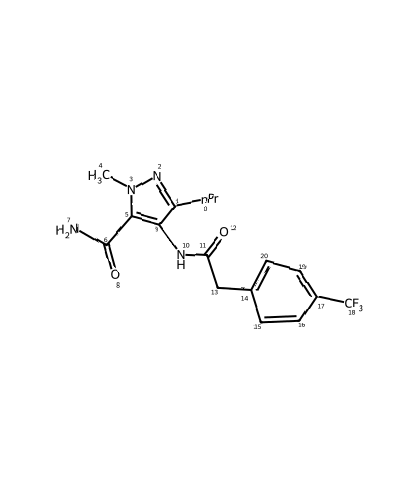 CCCc1nn(C)c(C(N)=O)c1NC(=O)Cc1ccc(C(F)(F)F)cc1